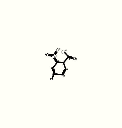 CC1=CC(=S(=O)=O)C(C(=O)Cl)C=C1